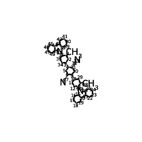 Cc1cc(-c2cc(C#N)c(-c3ccc(-n4c5ccccc5c5ccccc54)c(C)c3)cc2C#N)ccc1-n1c2ccccc2c2ccccc21